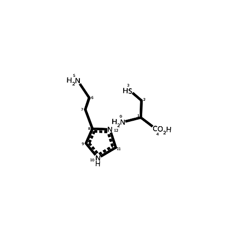 NC(CS)C(=O)O.NCCc1c[nH]cn1